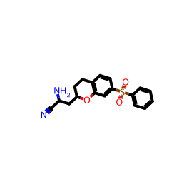 N#CC(N)CC1CCc2ccc(S(=O)(=O)c3ccccc3)cc2O1